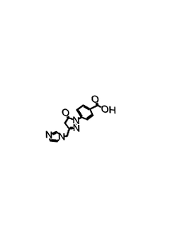 O=C(O)c1ccc(N2N=C(Cn3ccnc3)CC2=O)cc1